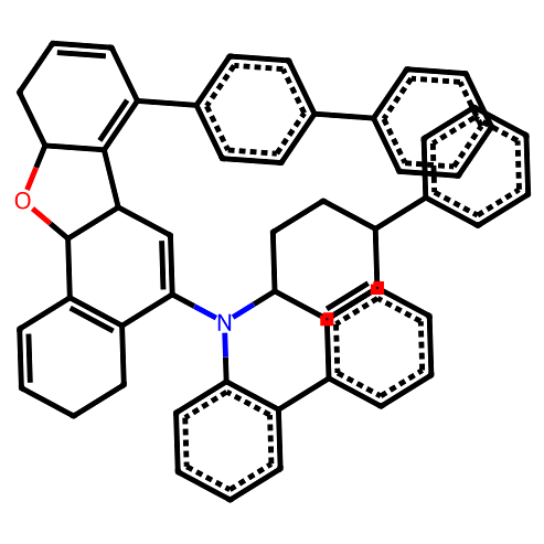 C1=CC2=C(CC1)C(N(c1ccccc1-c1ccccc1)C1C=CC(c3ccccc3)CC1)=CC1C3=C(c4ccc(-c5ccccc5)cc4)C=CCC3OC21